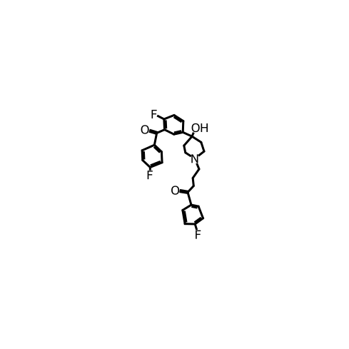 O=C(CCCN1CCC(O)(c2ccc(F)c(C(=O)c3ccc(F)cc3)c2)CC1)c1ccc(F)cc1